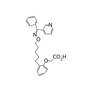 O=C(O)COc1ccccc1CCCCCO/N=C(/c1ccccc1)c1cccnc1